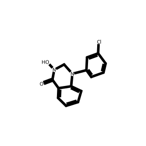 O=C1c2ccccc2N(c2cccc(Cl)c2)CN1O